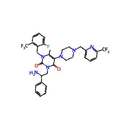 Cc1c(N2CCN(Cc3cccc(C(F)(F)F)n3)CC2)c(=O)n(CC(N)c2ccccc2)c(=O)n1Cc1c(F)cccc1C(F)(F)F